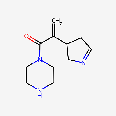 C=C(C(=O)N1CCNCC1)C1CC=NC1